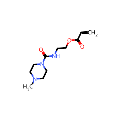 C=CC(=O)OCCNC(=O)N1CCN(C)CC1